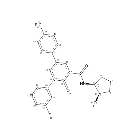 O=C(N[C@H]1CCC[C@H]1O)c1cc(-c2ccc(C(F)(F)F)nc2)nn(-c2cncc(F)c2)c1=O